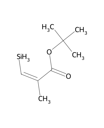 CC(=C[SiH3])C(=O)OC(C)(C)C